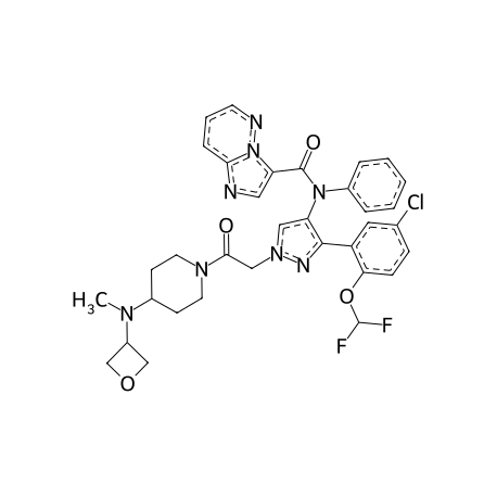 CN(C1CCN(C(=O)Cn2cc(N(C(=O)c3cnc4cccnn34)c3ccccc3)c(-c3cc(Cl)ccc3OC(F)F)n2)CC1)C1COC1